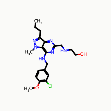 CCCc1nn(C)c2c(NCc3ccc(OC)c(Cl)c3)nc(CNCCO)nc12